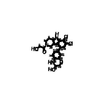 O=C(CO)N1CCc2[nH]c3c(Cl)c(Cl)cc(-c4ccc5c(c4)OCC(O)N5)c3c2C1